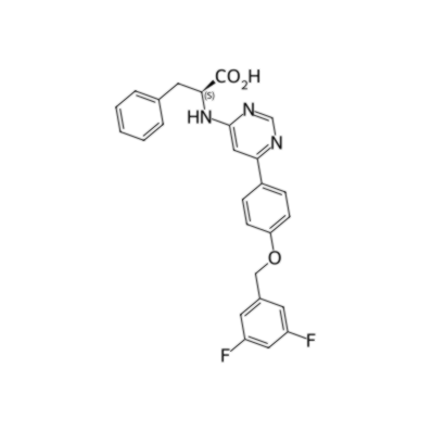 O=C(O)[C@H](Cc1ccccc1)Nc1cc(-c2ccc(OCc3cc(F)cc(F)c3)cc2)ncn1